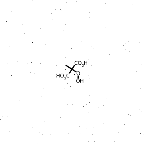 CC(OO)(C(=O)O)C(=O)O